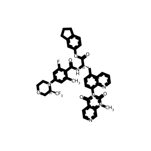 Cc1cc(N2CCOC[C@@H]2C(F)(F)F)cc(F)c1C(=O)N[C@@H](Cc1ccc(-n2c(=O)c3ccncc3n(C)c2=O)c2ncccc12)C(=O)Oc1ccc2c(c1)CCC2